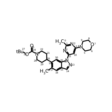 Cc1nc(N2CCOCC2)cc(-n2ncc3cc(C)c(C4CCN(C(=O)OC(C)(C)C)CC4)cc32)n1